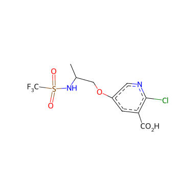 CC(COc1cnc(Cl)c(C(=O)O)c1)NS(=O)(=O)C(F)(F)F